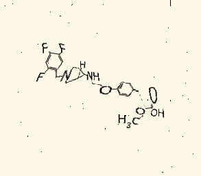 CCO[C@H](Cc1ccc(OCCN[C@H]2C3CN(Cc4cc(F)c(F)cc4F)C[C@@H]32)cc1)C(=O)O